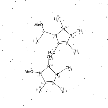 COC(C)N1C(C)=C(C)N(C)N1C.CON1C(C)=C(C)N(C)N1C